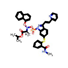 CNC(=O)c1ccccc1Sc1ccc2c(/C=C/c3ccccn3)nn([PH](=O)ON(Oc3cccc4ccccc34)[C@@H](C)C(=O)OC(C)C)c2c1